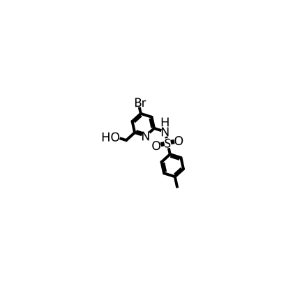 Cc1ccc(S(=O)(=O)Nc2cc(Br)cc(CO)n2)cc1